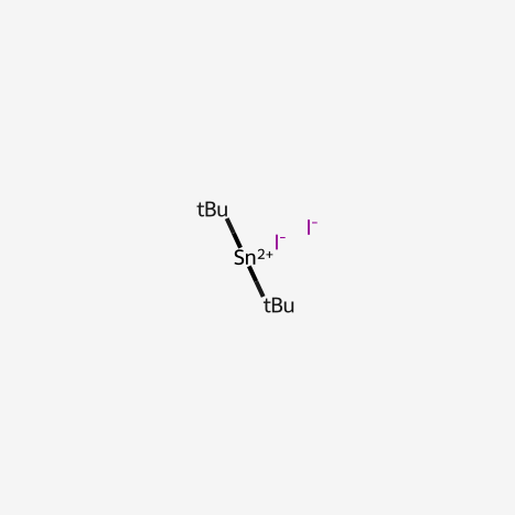 C[C](C)(C)[Sn+2][C](C)(C)C.[I-].[I-]